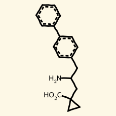 NC(Cc1ccc(-c2ccccc2)cc1)CC1(C(=O)O)CC1